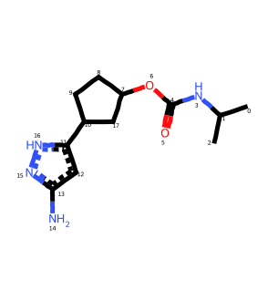 CC(C)NC(=O)OC1CCC(c2cc(N)n[nH]2)C1